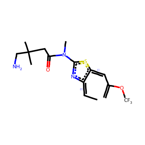 C=C(/C=c1/sc(N(C)C(=O)CC(C)(C)CN)n/c1=C/C)OC(F)(F)F